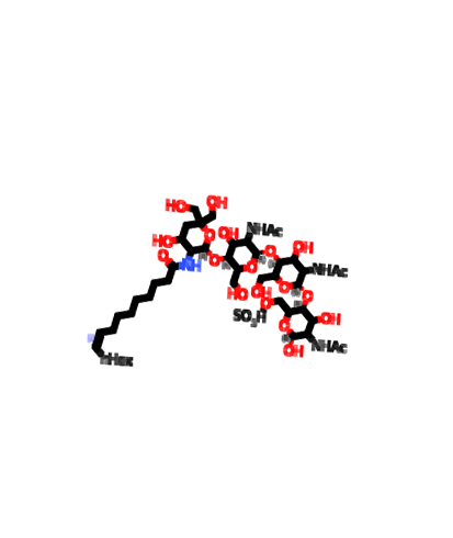 CCCCCC/C=C\CCCCCCCC(=O)NC1C(O)CC(CO)(CO)O[C@H]1O[C@@H]1C(CO)O[C@@H](O[C@@H]2C(CO)O[C@@H](O[C@@H]3C(COS(=O)(=O)O)O[C@@H](O)C(NC(C)=O)C3O)C(NC(C)=O)C2O)C(NC(C)=O)C1O